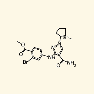 COC(=O)c1ccc(Nc2nn(C3CCC[C@@H]3C)cc2C(N)=O)cc1Br